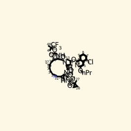 CCCOc1cc2c(Cl)cccc2c(O[C@@H]2C[C@H]3C(=O)N[C@]4(C(=O)NS(=O)(=O)C5(C)CC5)CC4/C=C\CC[C@H](C)C[C@@H](C)[C@H](NC(=O)OC(C)(C)C(F)(F)F)C(=O)N3C2)n1